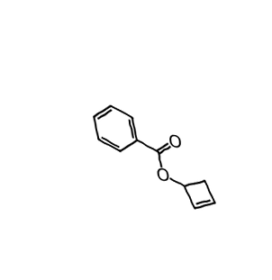 O=C(OC1C=CC1)c1ccccc1